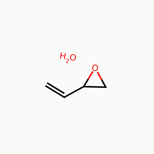 C=CC1CO1.O